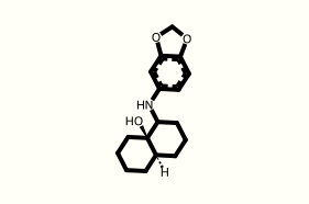 O[C@]12CCCC[C@@H]1CCCC2Nc1ccc2c(c1)OCO2